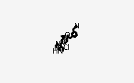 N#CCc1cccc(CC(=O)N2CCN(c3ncnc4[nH]cc(Cl)c34)CC23CC3)c1